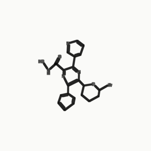 CC(C)C1CCCC(c2nc(-c3cccnc3)c(C(=O)NO)nc2-c2ccccc2)O1